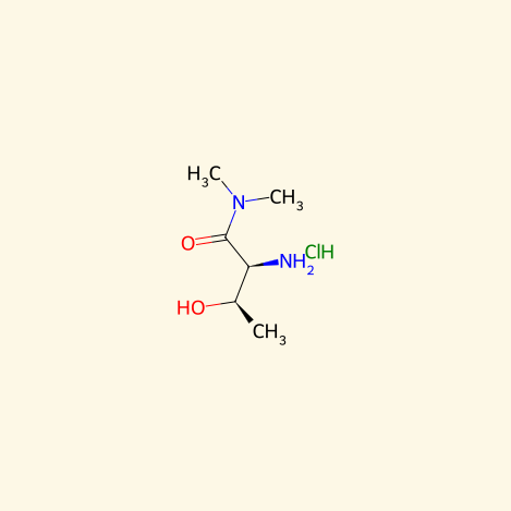 C[C@@H](O)[C@H](N)C(=O)N(C)C.Cl